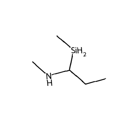 CCC(NC)[SiH2]C